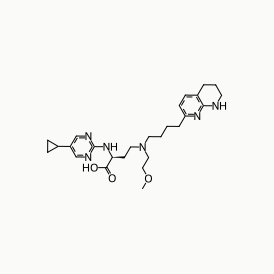 COCCN(CCCCc1ccc2c(n1)NCCC2)CC[C@H](Nc1ncc(C2CC2)cn1)C(=O)O